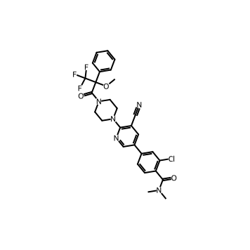 COC(C(=O)N1CCN(c2ncc(-c3ccc(C(=O)N(C)C)c(Cl)c3)cc2C#N)CC1)(c1ccccc1)C(F)(F)F